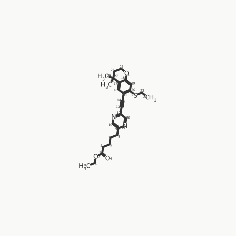 CCOC(=O)CCCCc1cnc(C#Cc2cc3c(cc2SCC)OCCC3(C)C)cn1